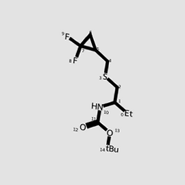 CCC(CSCC1CC1(F)F)NC(=O)OC(C)(C)C